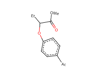 CCC(Oc1ccc(C(C)=O)cc1)C(=O)OC